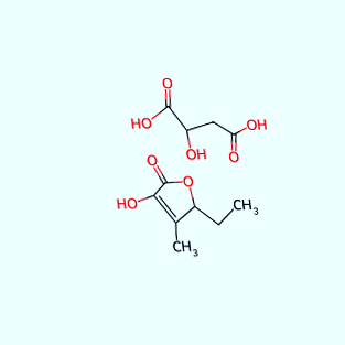 CCC1OC(=O)C(O)=C1C.O=C(O)CC(O)C(=O)O